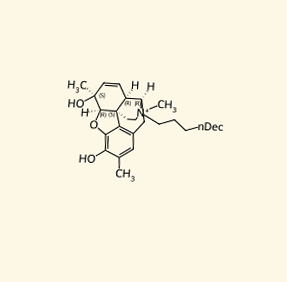 CCCCCCCCCCCCC[N+]1(C)CC[C@]23c4c5cc(C)c(O)c4O[C@H]2[C@@](C)(O)C=C[C@H]3[C@H]1C5